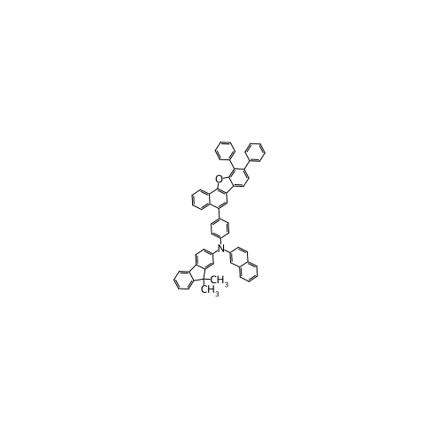 CC1(C)c2ccccc2-c2ccc(N(c3ccc(-c4cc5c6ccc(-c7ccccc7)c(-c7ccccc7)c6oc5c5ccccc45)cc3)c3ccc4ccccc4c3)cc21